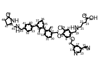 Cc1c(COc2cc(OCc3cncc(C#N)c3)c(CNCCCC(=O)O)cc2Cl)cccc1-c1cccc(-c2ccc(CNC[C@@H]3CCC(=O)N3)cc2)c1C